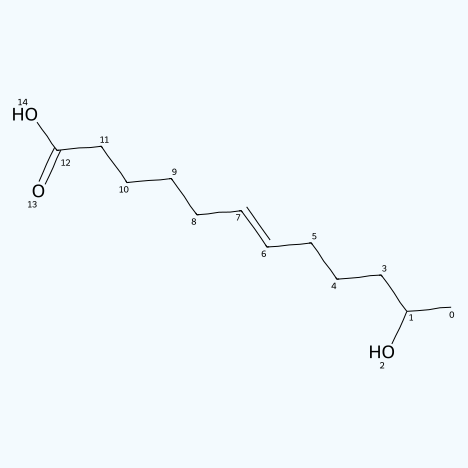 CC(O)CCCC=CCCCCC(=O)O